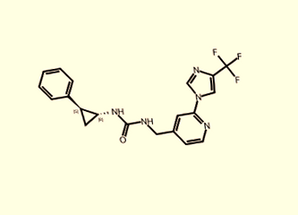 O=C(NCc1ccnc(-n2cnc(C(F)(F)F)c2)c1)N[C@@H]1C[C@H]1c1ccccc1